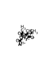 CCC(=O)[O-].CCC(=O)[O-].CCC(=O)[O-].CCOC(C)=O.[Al+3]